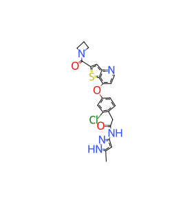 Cc1cc(NC(=O)Cc2ccc(Oc3ccnc4cc(C(=O)N5CCC5)sc34)cc2Cl)n[nH]1